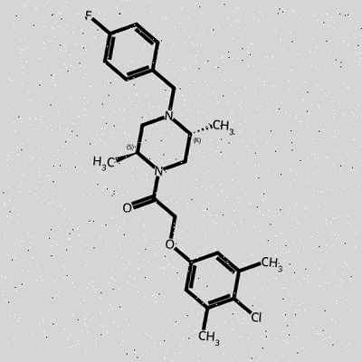 Cc1cc(OCC(=O)N2C[C@@H](C)N(Cc3ccc(F)cc3)C[C@@H]2C)cc(C)c1Cl